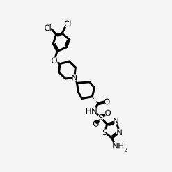 Nc1nnc(S(=O)(=O)NC(=O)[C@H]2CC[C@H](N3CCC(Oc4ccc(Cl)c(Cl)c4)CC3)CC2)s1